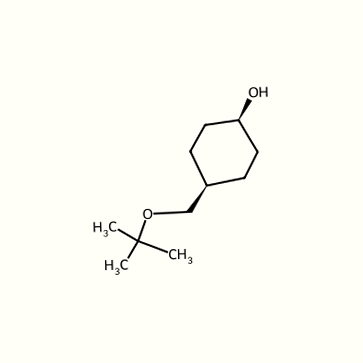 CC(C)(C)OC[C@H]1CC[C@@H](O)CC1